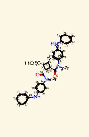 CCCN(C(=O)[C@@H]1[C@H](C(=O)O)[C@@H](C(=O)O)[C@H]1C(=O)N(CCC)c1ccc(Nc2ccccc2)cc1)c1ccc(Nc2ccccc2)cc1